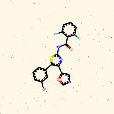 O=C(Nc1nc(-c2cnco2)c(-c2cccc(C(F)(F)F)c2)s1)c1c(F)cccc1F